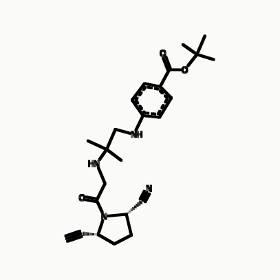 C#C[C@H]1CC[C@@H](C#N)N1C(=O)CNC(C)(C)CNc1ccc(C(=O)OC(C)(C)C)cc1